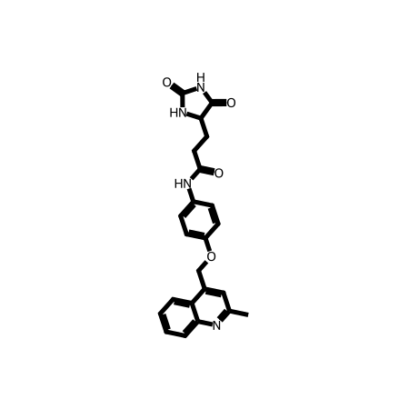 Cc1cc(COc2ccc(NC(=O)CCC3NC(=O)NC3=O)cc2)c2ccccc2n1